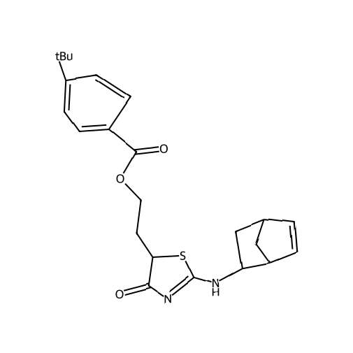 CC(C)(C)c1ccc(C(=O)OCCC2SC(NC3CC4C=CC3C4)=NC2=O)cc1